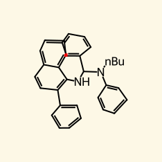 CCCCN(c1ccccc1)C(Nc1c(-c2ccccc2)ccc2ccccc12)c1ccccc1